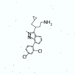 Cn1nc2c(-c3ccc(Cl)cc3Cl)cccc2c1C(CCN)CC1CC1